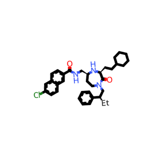 CC[C@H](CN1CC[C@@H](CNC(=O)c2ccc3cc(Cl)ccc3c2)N[C@@H](CCC2CCCCC2)C1=O)c1ccccc1